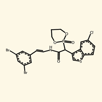 O=C(N/C=C/c1cc(Br)cc(Br)c1)C(c1csc2ccc(Cl)cc12)P1(=O)OCCCO1